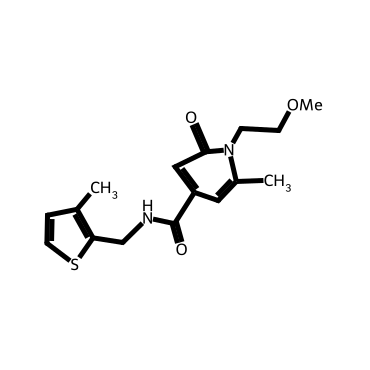 COCCn1c(C)cc(C(=O)NCc2sccc2C)cc1=O